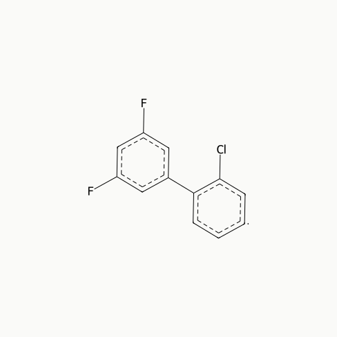 Fc1cc(F)cc(-c2cc[c]cc2Cl)c1